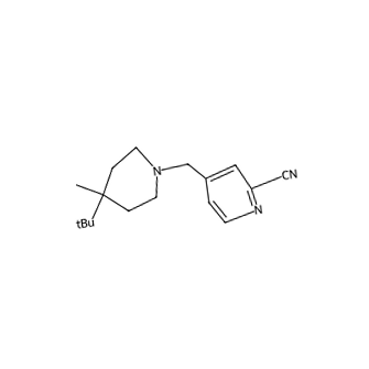 CC(C)(C)C1(C)CCN(Cc2ccnc(C#N)c2)CC1